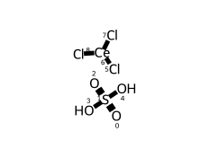 O=S(=O)(O)O.[Cl][Ce]([Cl])[Cl]